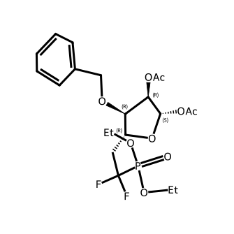 CCOP(=O)(OCC)C(F)(F)C[C@H]1O[C@@H](OC(C)=O)[C@H](OC(C)=O)[C@@H]1OCc1ccccc1